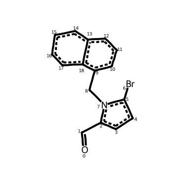 O=Cc1ccc(Br)n1Cc1cccc2ccccc12